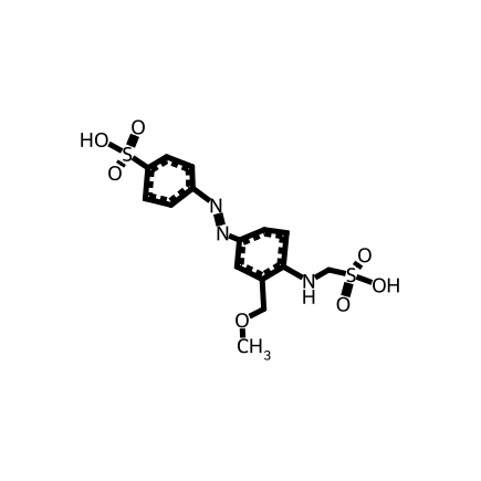 COCc1cc(/N=N/c2ccc(S(=O)(=O)O)cc2)ccc1NCS(=O)(=O)O